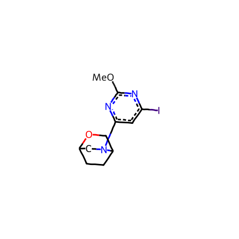 COc1nc(I)cc(N2CC3CCC2CO3)n1